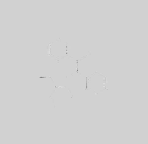 CCN(CC)CC.O=C(C(=O)c1ccccc1)c1ccccc1